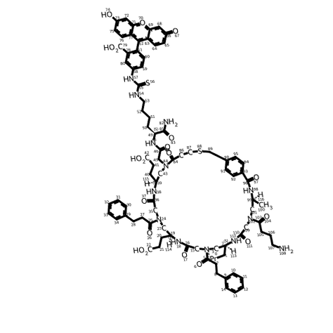 CC(C)C[C@H]1CN(C(=O)CCc2ccccc2)CC(=O)N[C@@H](CCC(=O)O)CN(C(=O)CCc2ccccc2)CC(=O)N[C@@H](CCC(=O)O)CN(CC(=O)N[C@@H](CCCCNC(=S)Nc2ccc(-c3c4ccc(=O)cc-4oc4cc(O)ccc34)c(C(=O)O)c2)C(N)=O)C(=O)CCSCc2ccc(cc2)C(=O)N[C@@H](C)CN(C(=O)CCCN)CC(=O)N1